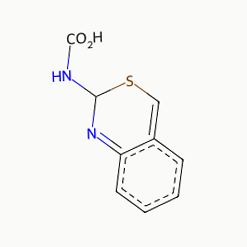 O=C(O)NC1N=c2ccccc2=CS1